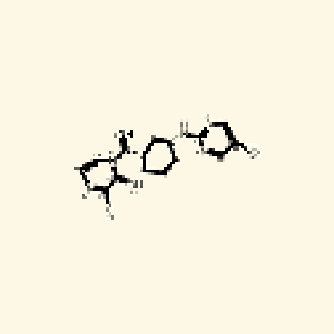 N=C([C@H]1CCC[C@@H](Nc2ncc(C(F)(F)F)cn2)C1)n1ccnc(Cl)c1=N